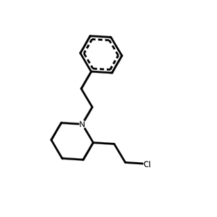 ClCCC1CCCCN1CCc1ccccc1